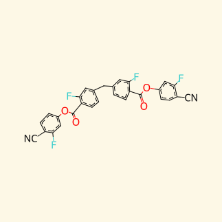 N#Cc1ccc(OC(=O)c2ccc(Cc3ccc(C(=O)Oc4ccc(C#N)c(F)c4)c(F)c3)cc2F)cc1F